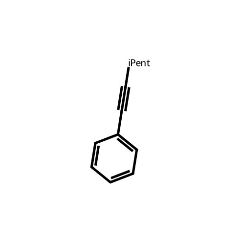 CCCC(C)C#Cc1ccccc1